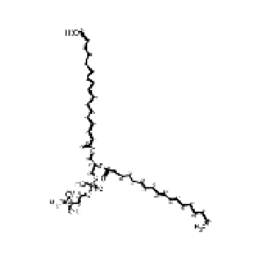 C/C=C\CCCCCCCCCCCCCCC(=O)OC[C@H](COP(=O)(O)OCC[N+](C)(C)C)OC(=O)CCCCCCCCCCCCCC/C=C\C